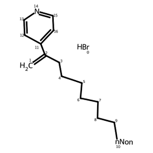 Br.C=C(CCCCCCCCCCCCCCCC)c1ccncc1